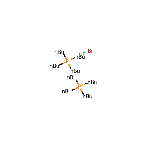 CCCC[P+](CCCC)(CCCC)CCCC.CCCC[P+](CCCC)(CCCC)CCCC.[Br-].[Cl-]